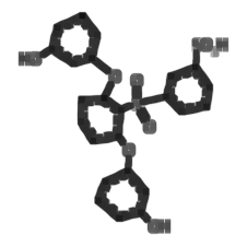 O=S(=O)(O)c1cccc(S(=O)(=O)c2c(Oc3cccc(O)c3)cccc2Oc2cccc(O)c2)c1